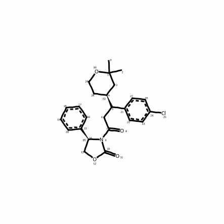 CC1(C)C[C@@H](C(CC(=O)N2C(=O)OC[C@H]2c2ccccc2)c2ccc(Cl)cc2)CCO1